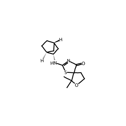 CC1(C)OCCC12SC(N[C@H]1C[C@H]3CC[C@H]1C3)=NC2=O